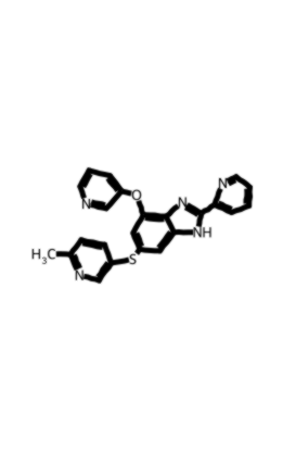 Cc1ccc(Sc2cc(Oc3cccnc3)c3nc(-c4ccccn4)[nH]c3c2)cn1